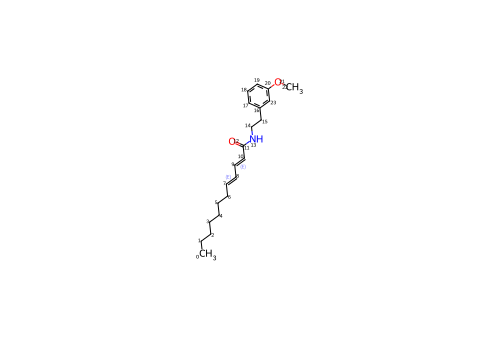 CCCCCCC/C=C/C=C/C(=O)NCCc1cccc(OC)c1